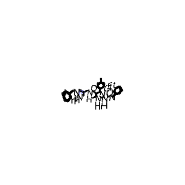 CCc1cccc2nc(NC3=NC(c4ccc(C)cc4Cl)C(C(=O)NC/C(C=N)=C/NCc4ccccc4)=C(C)N3)oc12